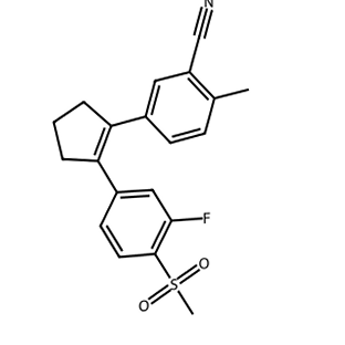 Cc1ccc(C2=C(c3ccc(S(C)(=O)=O)c(F)c3)CCC2)cc1C#N